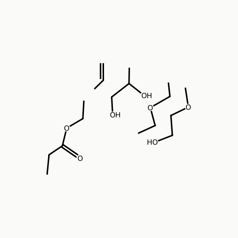 C=CC.CC(O)CO.CCOC(=O)CC.CCOCC.COCCO